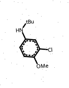 COc1ccc(NC(C)(C)C)cc1Cl